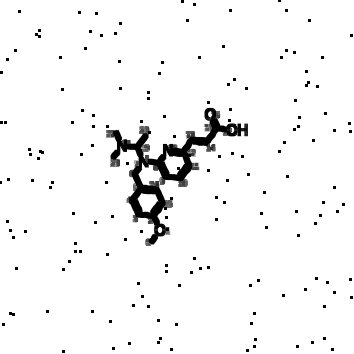 COc1ccc(CN(c2cccc(/C=C/C(=O)O)n2)C(C)N(C)C)cc1